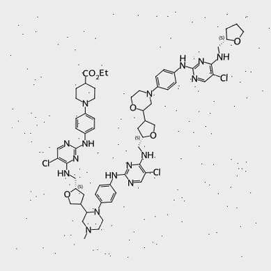 CCOC(=O)C1CCN(c2ccc(Nc3ncc(Cl)c(NC[C@@H]4CC(C5CN(C)CCN5c5ccc(Nc6ncc(Cl)c(NC[C@@H]7CC(C8CN(c9ccc(Nc%10ncc(Cl)c(NC[C@@H]%11CCCO%11)n%10)cc9)CCO8)CO7)n6)cc5)CO4)n3)cc2)CC1